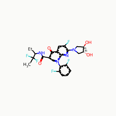 CCC(NC(=O)c1cn(-c2c(F)cccc2F)c2nc(N3C[C@@H](O)[C@H](O)C3)c(F)cc2c1=O)C(C)(F)F